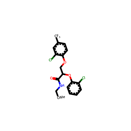 COCNC(=O)C(COc1ccc(C(F)(F)F)cc1Cl)Oc1ccccc1Cl